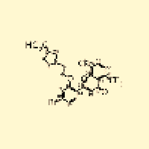 O=C(O)[C@@H]1CCN(CCOc2cc(Br)ccc2-c2cc(=O)c3c(C(F)(F)F)ccc(Cl)c3o2)C1